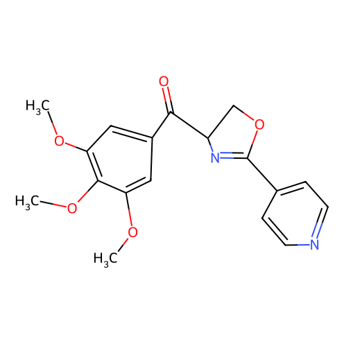 COc1cc(C(=O)C2COC(c3ccncc3)=N2)cc(OC)c1OC